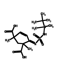 CC1(C(=O)O)C=CC(=NS(=O)(=O)N[Si](C)(C)C(C)(C)C)C(C)(C(=O)O)C1